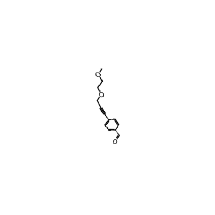 COCCOCC#Cc1ccc(C=O)cc1